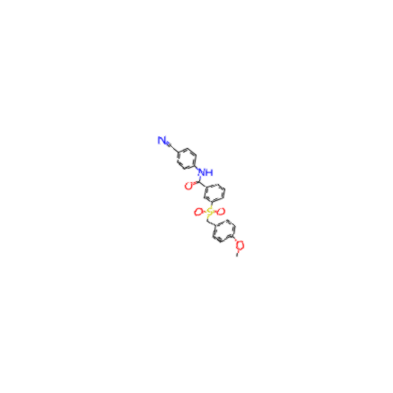 COc1ccc(CS(=O)(=O)c2cccc(C(=O)Nc3ccc(C#N)cc3)c2)cc1